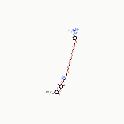 N=C(N)NCc1ccc(OCCOCCOCCOCCOCCOCCOCCn2cc(COc3c(I)cc(Oc4c(I)cc(CC(=O)O)cc4I)cc3I)nn2)cc1